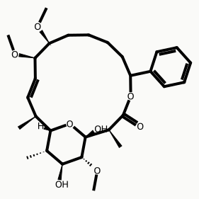 CO[C@H]1CCCCC(c2ccccc2)OC(=O)[C@@H](C)[C@@]2(O)O[C@H]([C@@H](C)[C@H](O)[C@H]2OC)[C@@H](C)/C=C/[C@H]1OC